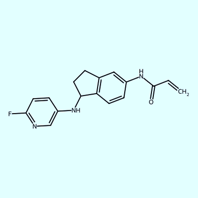 C=CC(=O)Nc1ccc2c(c1)CCC2Nc1ccc(F)nc1